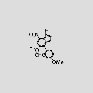 CCOC=O.COc1ccc(-c2ccc([N+](=O)[O-])c3[nH]ccc23)cc1